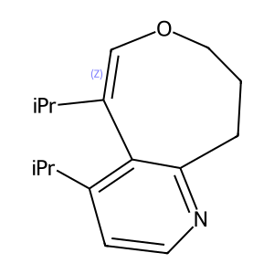 CC(C)/C1=C/OCCCc2nccc(C(C)C)c21